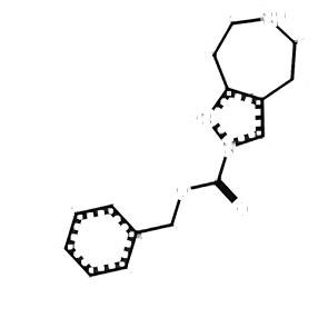 O=C(OCc1ccccc1)n1cc2c(n1)CCNCC2